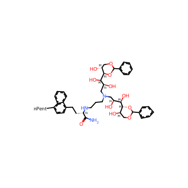 CCCCCc1ccc(CC[C@H](NCCCN(C[C@H](O)[C@@H](O)[C@@H]2OC(c3ccccc3)OC[C@H]2O)C[C@H](O)[C@@H](O)[C@@H]2OC(c3ccccc3)OC[C@H]2O)C(N)=O)c2ccccc12